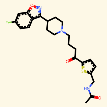 CC(=O)NCc1ccc(C(=O)CCCN2CCC(c3noc4cc(F)ccc34)CC2)s1